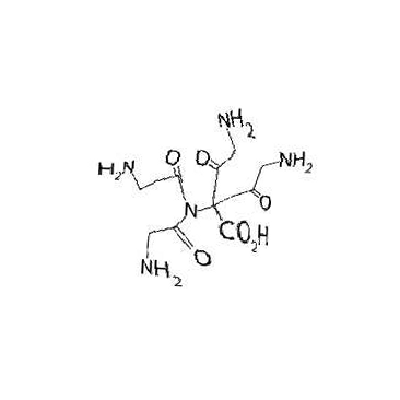 NCC(=O)N(C(=O)CN)C(C(=O)O)(C(=O)CN)C(=O)CN